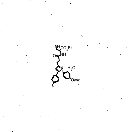 CCOC(=O)[C@H](CS)NC(=O)CCc1cc(-c2ccc(Cl)cc2)n(-c2ccc(OC)cc2)n1.O